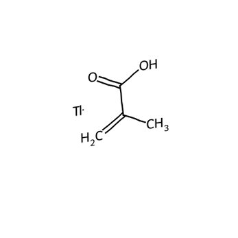 C=C(C)C(=O)O.[Tl]